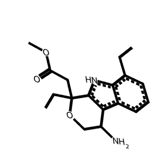 CCc1cccc2c3c([nH]c12)C(CC)(CC(=O)OC)OCC3N